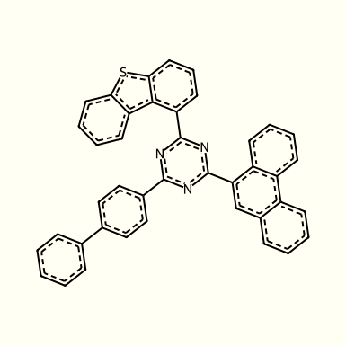 c1ccc(-c2ccc(-c3nc(-c4cc5ccccc5c5ccccc45)nc(-c4cccc5sc6ccccc6c45)n3)cc2)cc1